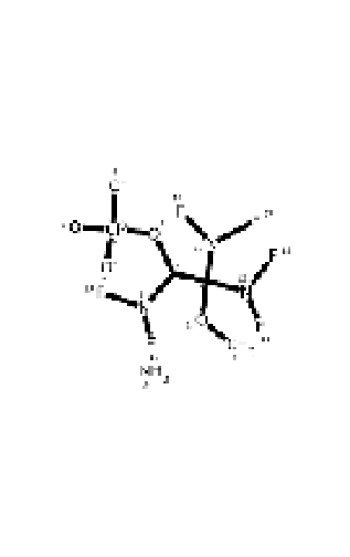 COC(C(O[Cl+3]([O-])([O-])[O-])N(F)F)(N(F)F)N(F)F.N